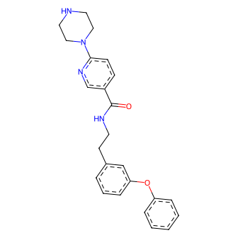 O=C(NCCc1cccc(Oc2ccccc2)c1)c1ccc(N2CCNCC2)nc1